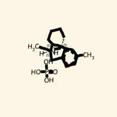 Cc1ccc2c(c1)[C@]13CCCC[C@@H]1[C@H](C2)N(C)CC3.O=P(O)(O)O